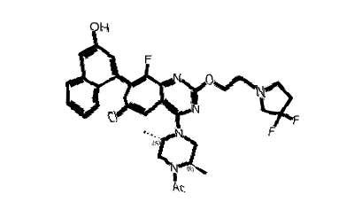 CC(=O)N1C[C@H](C)N(c2nc(OCCN3CCC(F)(F)C3)nc3c(F)c(-c4cc(O)cc5ccccc45)c(Cl)cc23)C[C@H]1C